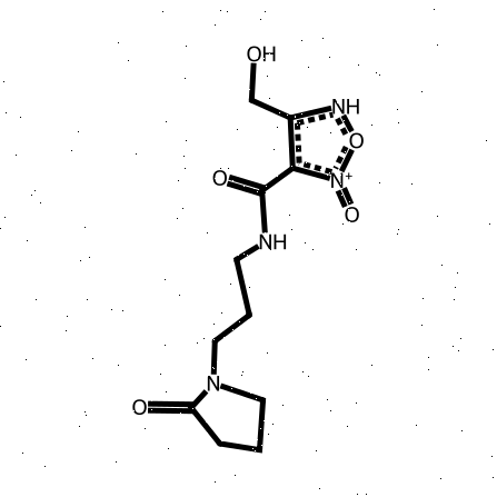 O=C(NCCCN1CCCC1=O)c1c(CO)[nH]o[n+]1=O